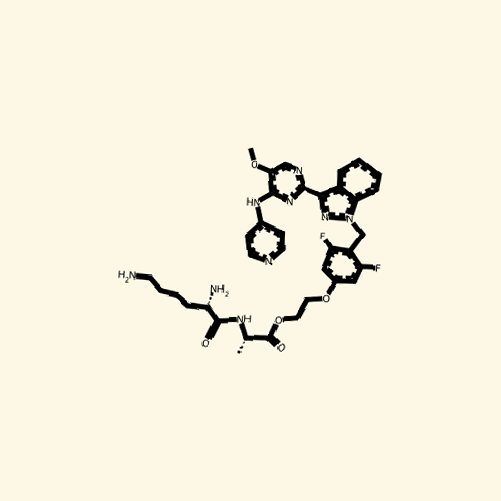 COc1cnc(-c2nn(Cc3c(F)cc(OCCOC(=O)[C@H](C)NC(=O)[C@@H](N)CCCCN)cc3F)c3ccccc23)nc1Nc1ccncc1